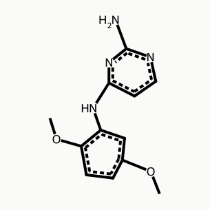 COc1ccc(OC)c(Nc2ccnc(N)n2)c1